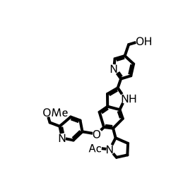 COCc1ccc(Oc2cc3cc(-c4ccc(CO)cn4)[nH]c3cc2C2CCCN2C(C)=O)cn1